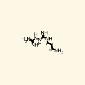 N=C(N)NNC(=N)NCCCN